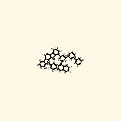 c1ccc(-c2cccc(-c3cc(-c4cccc5c4sc4c5ccc5c6ccccc6n(-c6ccccc6)c54)nc(-c4cccc5ccccc45)n3)c2)cc1